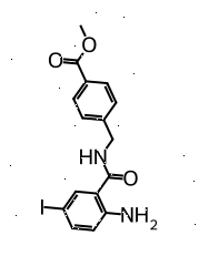 COC(=O)c1ccc(CNC(=O)c2cc(I)ccc2N)cc1